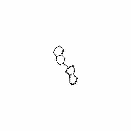 C1=C2CC(c3ccc4ccccc4c3)CCC2CCC1